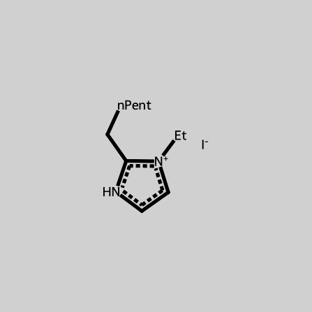 CCCCCCc1[nH]cc[n+]1CC.[I-]